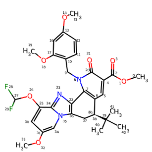 COC(=O)c1cc2c(n(Cc3ccc(OC)cc3OC)c1=O)-c1nc3c(OC(F)F)cc(OC)cn3c1C[C@@H]2C(C)(C)C